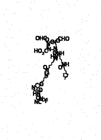 Cc1ccc(CCCC(=O)NCCCC[C@@H](N/N=C/CCCCCC(=O)N2CCN(CCCCOc3ccc4nccc(C(=O)NCC(=O)N5CC(C)(F)C[C@@H]5C#N)c4c3)CC2)NC(=O)CN2CCN(COC=O)CCN(COC=O)CCN(CC(=O)O)CC2)cc1